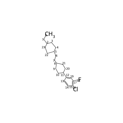 CCC1CCC(CCC2CCC(c3ccc(Cl)c(F)c3)CC2)CC1